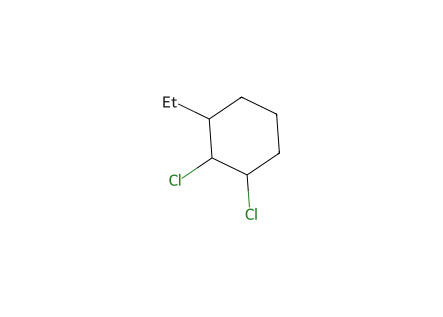 CCC1CCCC(Cl)C1Cl